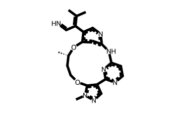 CC(C)=C(C=N)c1cnc2cc1O[C@@H](C)CCOc1c(cnn1C)-c1nccc(n1)N2